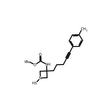 Cc1ccc(C#CCCCC2(NC(=O)OC(C)(C)C)CN(S)C2)cc1